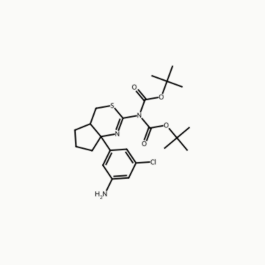 CC(C)(C)OC(=O)N(C(=O)OC(C)(C)C)C1=NC2(c3cc(N)cc(Cl)c3)CCCC2CS1